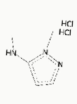 CNc1ccnn1C.Cl.Cl